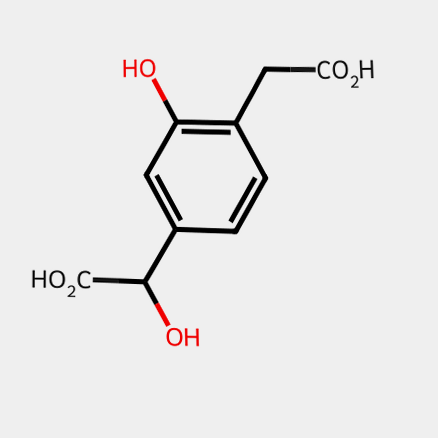 O=C(O)Cc1ccc(C(O)C(=O)O)cc1O